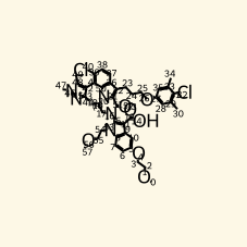 COCCOc1ccc2c(c1)c(C(=O)O)c(N1C[C@@H](C)n3c(c(CCCOc4cc(C)c(Cl)c(C)c4)c4ccc(Cl)c(-c5c(C)nn(C)c5C)c43)C1=O)n2CCOC